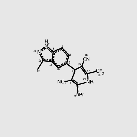 CCCC1=C(C#N)C(c2ccc3[nH]nc(C)c3c2)C(C#N)=C(C(F)(F)F)N1